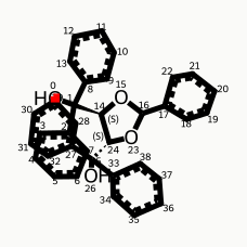 OC(c1ccccc1)(c1ccccc1)[C@H]1OC(c2ccccc2)O[C@@H]1C(O)(c1ccccc1)c1ccccc1